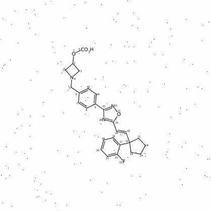 O=C(O)OC1CN(Cc2ccc(-c3noc(/C=C/C4(c5ccccc5F)CCCC4)n3)cc2)C1